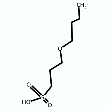 [CH2]CCCOCCCS(=O)(=O)O